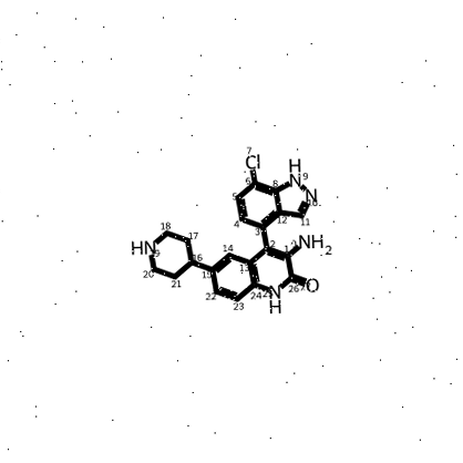 Nc1c(-c2ccc(Cl)c3[nH]ncc23)c2cc(C3CCNCC3)ccc2[nH]c1=O